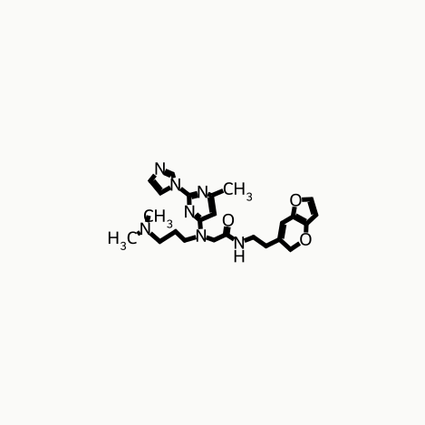 Cc1cc(N(CCCN(C)C)CC(=O)NCCC2=Cc3occc3OC2)nc(-n2ccnc2)n1